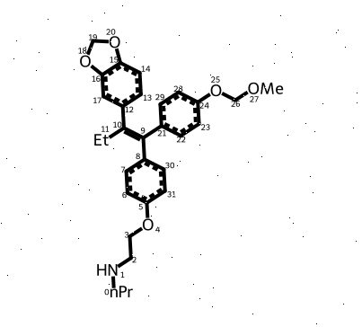 CCCNCCOc1ccc(C(=C(CC)c2ccc3c(c2)OCO3)c2ccc(OCOC)cc2)cc1